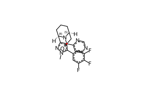 Cn1nc2c(c1-c1cc(F)c(F)c(F)c1)C[C@@H]1CCC[C@H]2N1C(=O)c1ccncn1